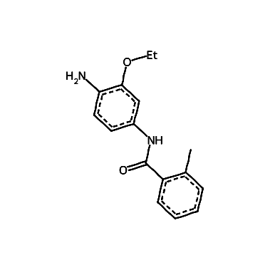 CCOc1cc(NC(=O)c2ccccc2C)ccc1N